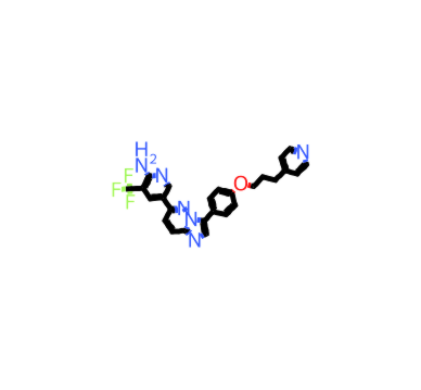 Nc1ncc(-c2ccc3ncc(-c4ccc(OCCCc5ccncc5)cc4)n3n2)cc1C(F)(F)F